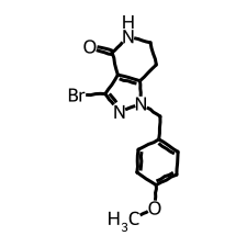 COc1ccc(Cn2nc(Br)c3c2CCNC3=O)cc1